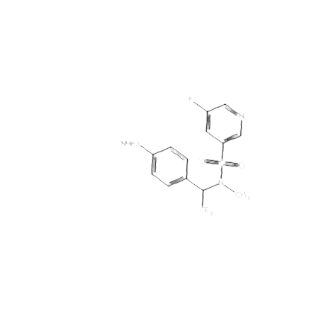 COc1ccc(C(N(C)S(=O)(=O)c2cncc(F)c2)C(F)(F)F)cc1